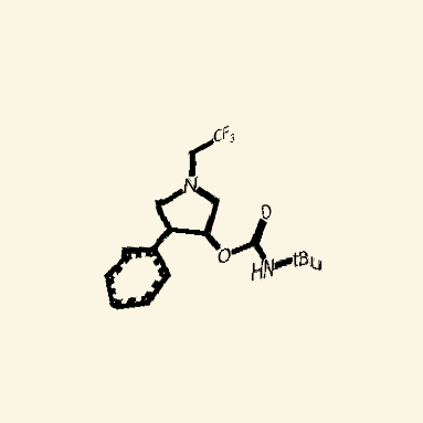 CC(C)(C)NC(=O)OC1CN(CC(F)(F)F)CC1c1ccccc1